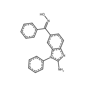 Nc1nc2ccc(/C(=N/O)c3ccccc3)cc2n1-c1ccccc1